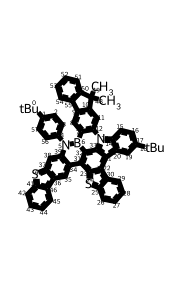 CC(C)(C)c1ccc(N2B3c4cc5c(cc4-n4c6ccc(C(C)(C)C)cc6c6c7c(sc8ccccc87)c(c3c64)-c3cc4c(cc32)sc2ccccc24)C(C)(C)c2ccccc2-5)cc1